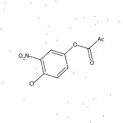 CC(=O)C(=O)Oc1ccc(Cl)c([N+](=O)[O-])c1